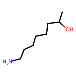 CC(O)CCCCCCN